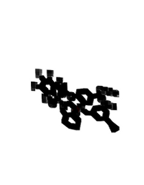 CCc1c(F)c(F)c(F)c(F)c1S(=O)(=O)N(CC(=O)N(Cc1cc(C2CC2)cc(C(C)(C)C)c1)c1cc(C(=O)OC)ccc1OC1CC1)Cc1ccccc1F